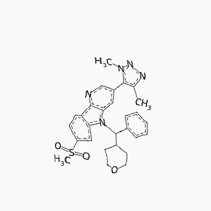 Cc1nnn(C)c1-c1cnc2c3ccc(S(C)(=O)=O)cc3n(C(c3ccccc3)C3CCOCC3)c2c1